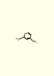 NC1=CC(N)OC=C1